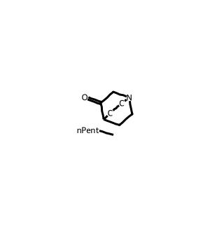 CCCCCC.O=C1CN2CCC1CC2